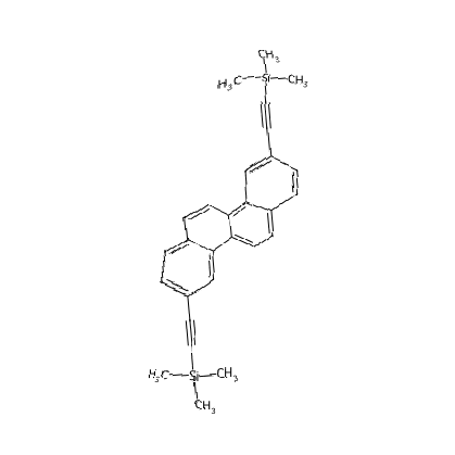 C[Si](C)(C)C#Cc1ccc2ccc3c4cc(C#C[Si](C)(C)C)ccc4ccc3c2c1